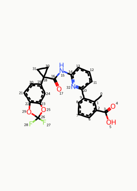 Cc1c(C(=O)O)cccc1-c1cccc(NC(=O)C2(c3ccc4c(c3)OC(F)(F)O4)CC2)n1